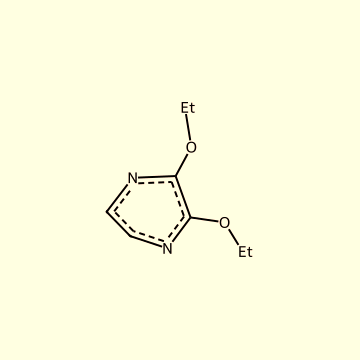 CCOc1nccnc1OCC